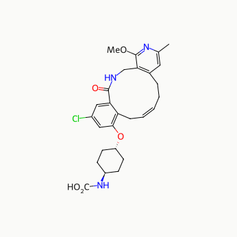 COc1nc(C)cc2c1CNC(=O)c1cc(Cl)cc(O[C@H]3CC[C@H](NC(=O)O)CC3)c1CC=CCC2